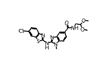 COC(CNC(=O)c1ccc2c(c1)nc(Nc1nc3ccc(Cl)cc3s1)n2C)OC